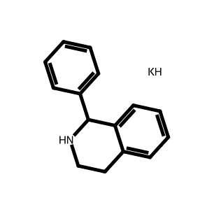 [KH].c1ccc(C2NCCc3ccccc32)cc1